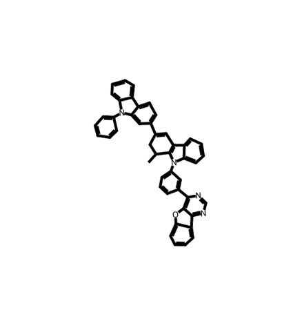 CC1CC(c2ccc3c4ccccc4n(-c4ccccc4)c3c2)=Cc2c1n(-c1cccc(-c3ncnc4c3oc3ccccc34)c1)c1ccccc21